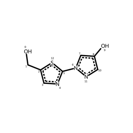 OCc1cnc(-n2cc(O)cn2)s1